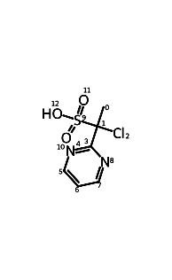 CC(Cl)(c1ncccn1)S(=O)(=O)O